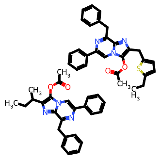 CCC(C)c1nc2c(Cc3ccccc3)nc(-c3ccccc3)cn2c1OC(C)=O.CCc1ccc(Cc2nc3c(Cc4ccccc4)nc(-c4ccccc4)cn3c2OC(C)=O)s1